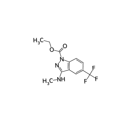 CCOC(=O)n1nc(NC)c2cc(C(F)(F)F)ccc21